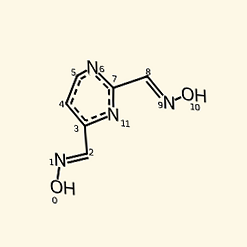 ON=Cc1ccnc(C=NO)n1